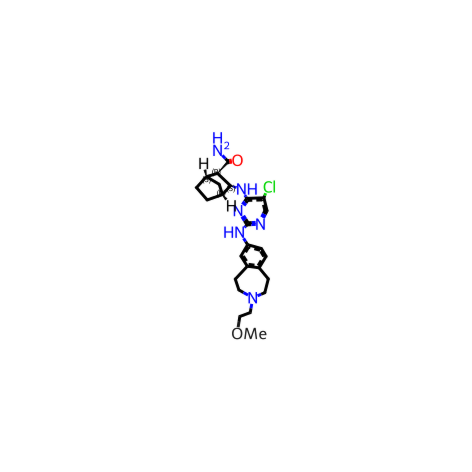 COCCN1CCc2ccc(Nc3ncc(Cl)c(N[C@H]4[C@@H]5CC[C@@H](C5)[C@H]4C(N)=O)n3)cc2CC1